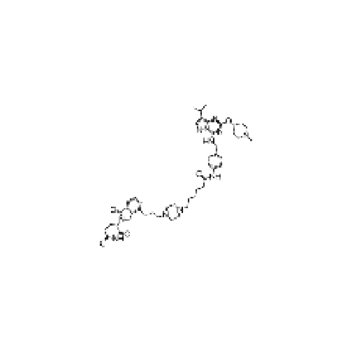 CC(C)c1cnn2c(NCc3ccc(NC(=O)CCCCCN4CCN(CCCc5cccc6c5CN(C5CCC(=O)NC5=O)C6=O)CC4)cc3)nc(OC3CCN(C)CC3)nc12